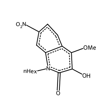 CCCCCCn1c(=O)c(O)c(OC)c2ccc([N+](=O)[O-])cc21